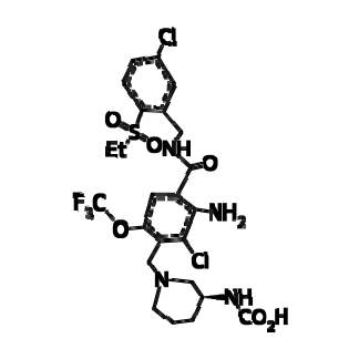 CCS(=O)(=O)c1ccc(Cl)cc1CNC(=O)c1cc(OC(F)(F)F)c(CN2CCC[C@H](NC(=O)O)C2)c(Cl)c1N